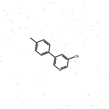 Cc1ccc(-c2cncc(C#N)c2)cc1